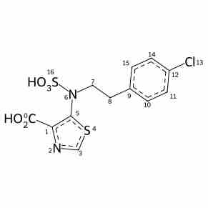 O=C(O)c1ncsc1N(CCc1ccc(Cl)cc1)S(=O)(=O)O